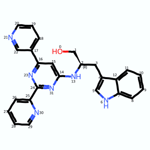 OC[C@@H](Cc1c[nH]c2ccccc12)Nc1cc(-c2cccnc2)nc(-c2ccccn2)n1